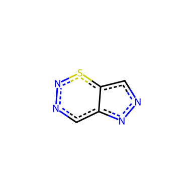 c1nnsc2cnnc1-2